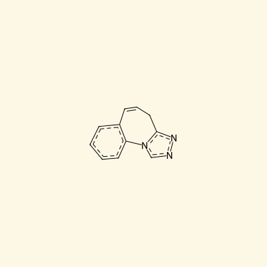 C1=Cc2ccccc2-n2cnnc2C1